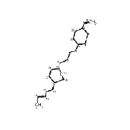 C=CC1CCC(CCCC[C@H]2CC[C@H](CCC=CC)CC2)CC1